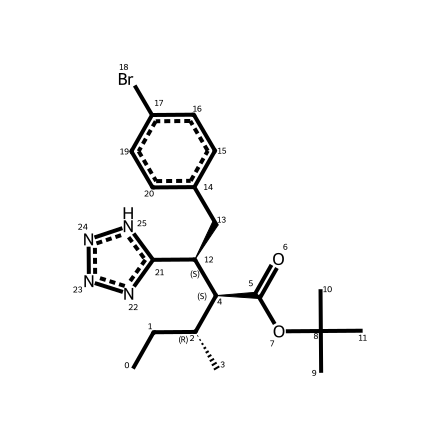 CC[C@@H](C)[C@H](C(=O)OC(C)(C)C)[C@H](Cc1ccc(Br)cc1)c1nnn[nH]1